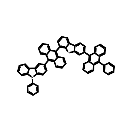 c1ccc(-c2c3ccccc3c(-c3ccc4c(c3)sc3c(-c5c6ccccc6c(-c6ccc7c(c6)c6ccccc6n7-c6ccccc6)c6ccccc56)cccc34)c3ccccc23)cc1